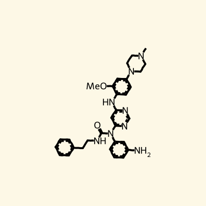 COc1cc(N2CCN(C)CC2)ccc1Nc1cc(N(C(=O)NCCc2ccccc2)c2cccc(N)c2)ncn1